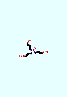 O=P(CC=CO)(CC=CO)CC=CO